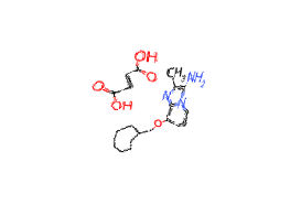 Cc1nc2c(OCC3CCCCC3)cccn2c1N.O=C(O)C=CC(=O)O